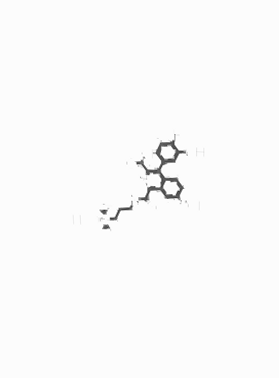 Cc1cc(-c2c(C(C)C)nc(C(=O)NCCCS(C)(=O)=O)c3cc(O)ccc23)ccc1F